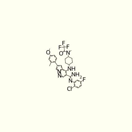 COc1ccc(-c2cc3c(NC4CCC(N(C)C(=O)C(F)(F)F)CC4)c(C(N)=Nc4cc(F)ccc4Cl)cnn3c2)c(C)c1